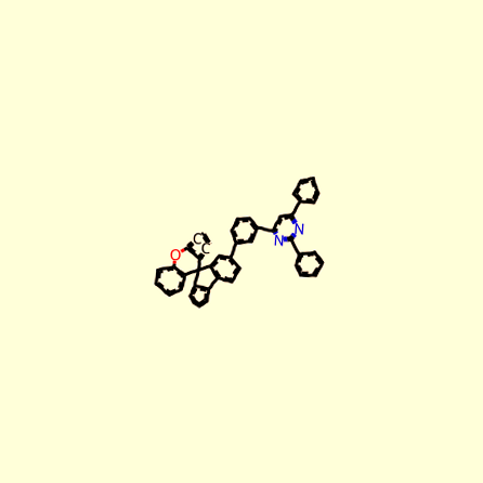 c1ccc(-c2cc(-c3cccc(-c4ccc5c(c4)C4(c6ccccc6Oc6ccccc64)c4ccccc4-5)c3)nc(-c3ccccc3)n2)cc1